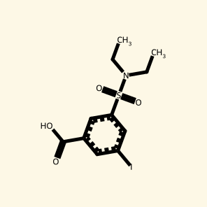 CCN(CC)S(=O)(=O)c1cc(I)cc(C(=O)O)c1